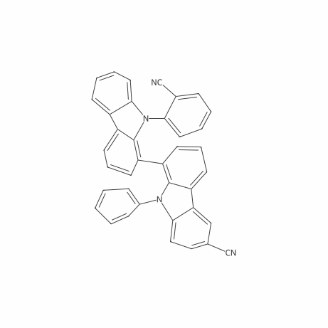 N#Cc1ccc2c(c1)c1cccc(-c3cccc4c5ccccc5n(-c5ccccc5C#N)c34)c1n2-c1ccccc1